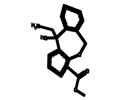 COC(=O)c1cccc2c1OCc1ccccc1C2(O)CN